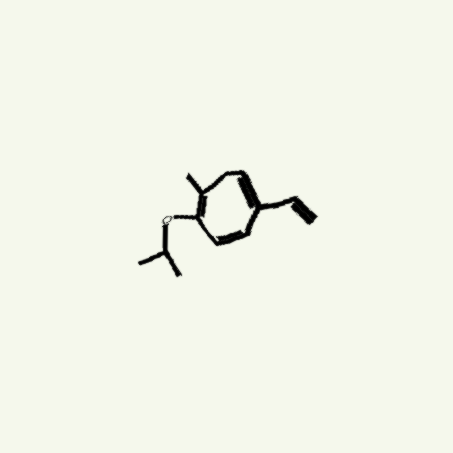 C=Cc1ccc(OC(C)C)c(C)c1